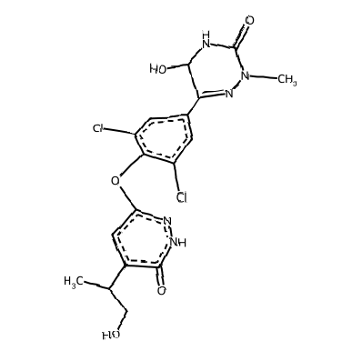 CC(CO)c1cc(Oc2c(Cl)cc(C3=NN(C)C(=O)NC3O)cc2Cl)n[nH]c1=O